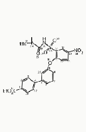 CCOC(=O)c1ccc(-c2cccc(Oc3ccc([N+](=O)[O-])cc3S(=O)(=O)NC(=O)NC(C)(C)C)c2)cc1